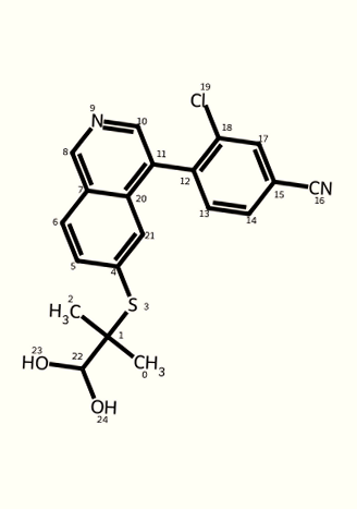 CC(C)(Sc1ccc2cncc(-c3ccc(C#N)cc3Cl)c2c1)C(O)O